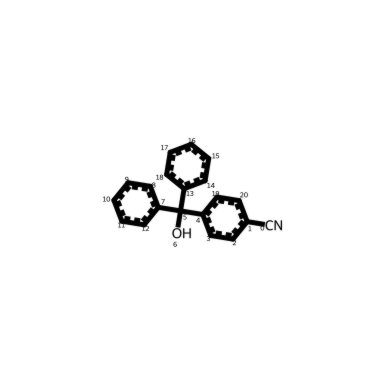 N#Cc1ccc(C(O)(c2ccccc2)c2ccccc2)cc1